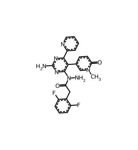 Cn1cc(-c2c(-c3ccccn3)nc(N)nc2N(N)C(=O)Cc2c(F)cccc2F)ccc1=O